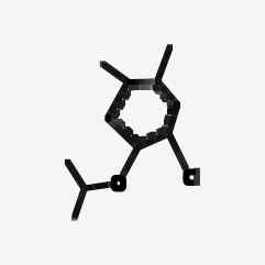 Cc1cc(Cl)c(OC(C)C)cc1C